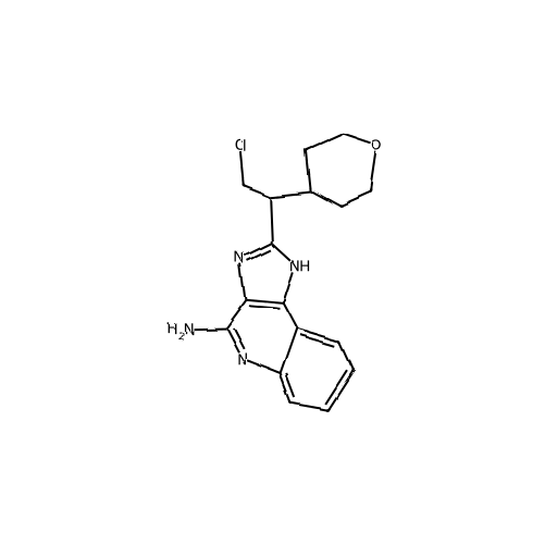 Nc1nc2ccccc2c2[nH]c(C(CCl)C3CCOCC3)nc12